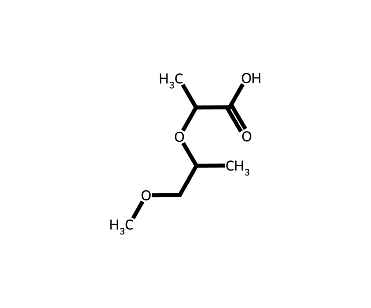 COCC(C)OC(C)C(=O)O